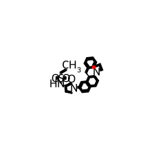 CCCS(=O)(=O)N[C@H]1CCN(c2ccc3c(c2)[C@@H](Cc2ccccc2)C(N2CCC2)CC3)C1=O